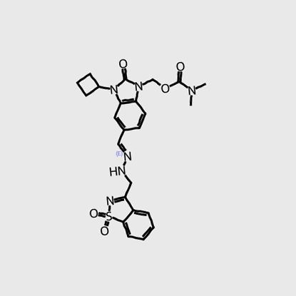 CN(C)C(=O)OCn1c(=O)n(C2CCC2)c2cc(/C=N/NCC3=NS(=O)(=O)c4ccccc43)ccc21